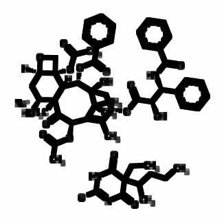 CC(=O)O[C@H]1C(=O)[C@@]2(C)[C@H]([C@H](OC(=O)c3ccccc3)[C@]3(O)C[C@H](OC(=O)[C@H](O)[C@@H](NC(=O)c4ccccc4)c4ccccc4)C(C)=C1C3(C)C)[C@]1(OC(C)=O)CO[C@@H]1C[C@@H]2O.CCCC(C)C1(CC)C(=O)N=C([O-])NC1=O.[Na+]